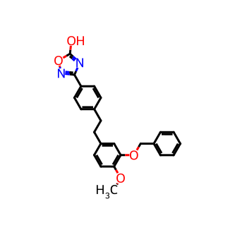 COc1ccc(CCc2ccc(-c3noc(O)n3)cc2)cc1OCc1ccccc1